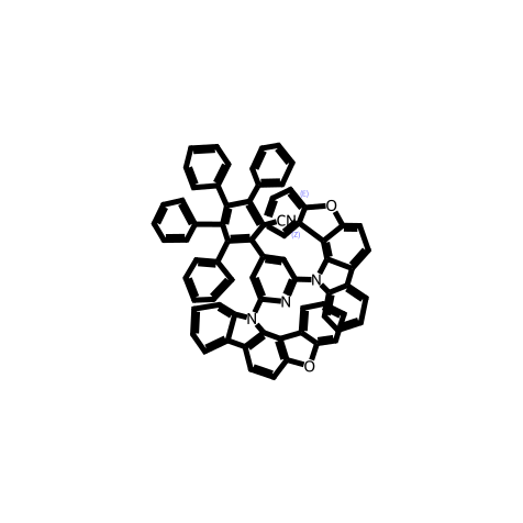 C=C/C=c1/oc2ccc3c4ccccc4n(-c4cc(-c5c(C#N)c(-c6ccccc6)c(-c6ccccc6)c(-c6ccccc6)c5-c5ccccc5)cc(-n5c6ccccc6c6ccc7oc8ccccc8c7c65)n4)c3c2/c1=C/C